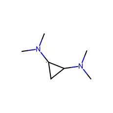 CN(C)[C]1CC1N(C)C